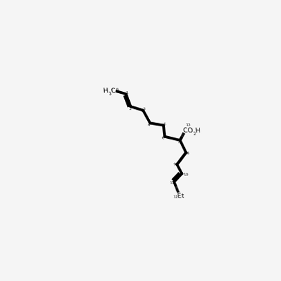 CC=CCCCCC(CCC=CCC)C(=O)O